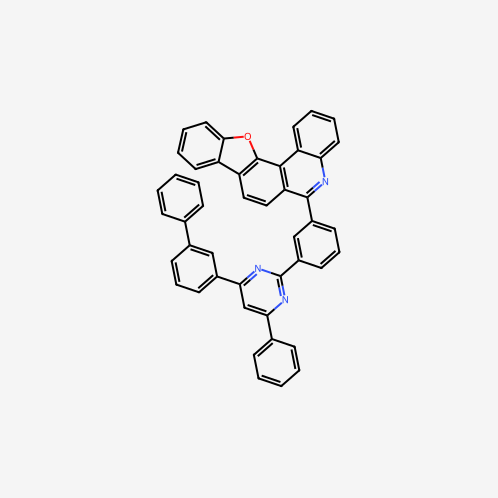 c1ccc(-c2cccc(-c3cc(-c4ccccc4)nc(-c4cccc(-c5nc6ccccc6c6c5ccc5c7ccccc7oc56)c4)n3)c2)cc1